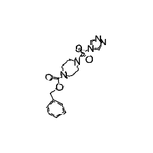 O=C(OCc1ccccc1)N1CCN(S(=O)(=O)n2cnnc2)CC1